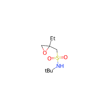 CCC1(CS(=O)(=O)NC(C)(C)C)CO1